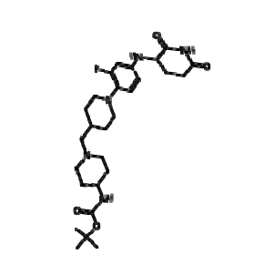 CC(C)(C)OC(=O)NC1CCN(CC2CCN(c3ccc(NC4CCC(=O)NC4=O)cc3F)CC2)CC1